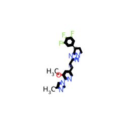 COc1cc(/C=C/c2nc3n(n2)CC[C@@H]3c2cc(F)c(F)c(F)c2)cnc1-n1cnc(C)c1